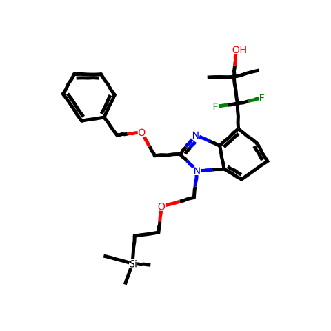 CC(C)(O)C(F)(F)c1cccc2c1nc(COCc1ccccc1)n2COCC[Si](C)(C)C